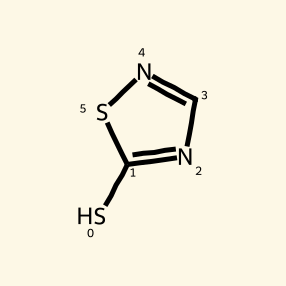 Sc1ncns1